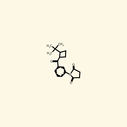 CC(C)(C)C1CCC1C(=O)c1cccc(N2C(=O)CCC2=O)c1